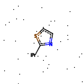 CC(C)c1nc[c]s1